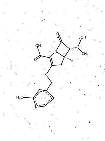 Cc1cc(CSC2=C(C(=O)O)N3C(=O)[C@H](C(C)O)[C@H]3C2)ccn1